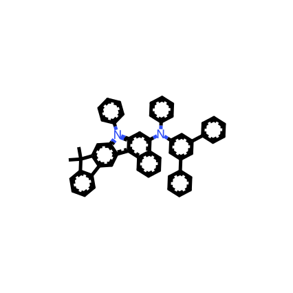 CC1(C)c2ccccc2-c2cc3c4c5ccccc5c(N(c5ccccc5)c5cc(-c6ccccc6)cc(-c6ccccc6)c5)cc4n(-c4ccccc4)c3cc21